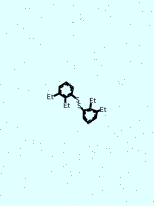 CCc1cccc(SSc2cccc(CC)c2CC)c1CC